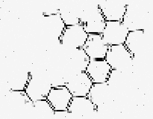 CCC(=O)Nc1ccc([S+]([O-])c2ccc(NC(C)=O)cc2)cc1NC(=NC(=O)OC)NC(=O)OC